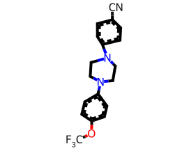 N#Cc1ccc(N2CCN(c3ccc(OC(F)(F)F)cc3)CC2)cc1